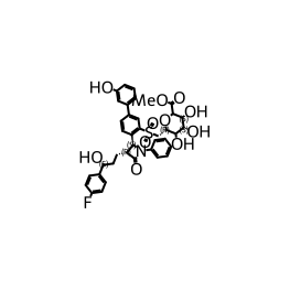 COC(=O)C1O[C@@H](CS(=O)(=O)c2cc(-c3cccc(O)c3)ccc2[C@@H]2[C@@H](CC[C@H](O)c3ccc(F)cc3)C(=O)N2c2ccccc2)C(O)[C@@H](O)[C@@H]1O